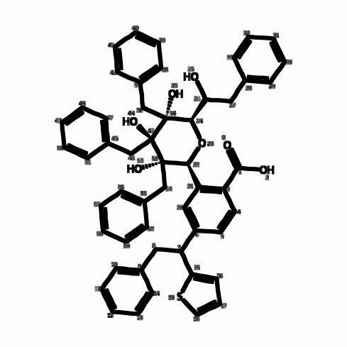 O=C(O)c1ccc(C(Cc2ccccc2)c2cccs2)cc1[C@@H]1O[C@H](C(O)Cc2ccccc2)[C@](O)(Cc2ccccc2)[C@@](O)(Cc2ccccc2)[C@]1(O)Cc1ccccc1